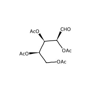 CC(=O)OC[C@@H](OC(C)=O)[C@@H](OC(C)=O)[C@@H](C=O)OC(C)=O